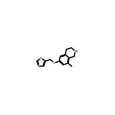 Cc1cc(OCc2cnco2)cc2c1CNCC2